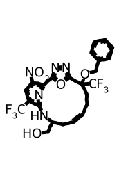 O=[N+]([O-])c1cc(C(F)(F)F)c2nc1-c1nnc(o1)C(OCc1ccccc1)(C(F)(F)F)CCC=CCC(CO)N2